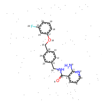 Nc1ncccc1C(=O)NCc1ccc(COc2cccc(F)c2)cc1